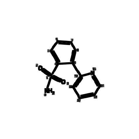 NS(=O)(=O)c1ccccc1-c1ccccn1